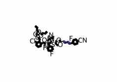 C=CCOP(=O)(OCC=C)OCc1c(Cl)cccc1C(=O)O[C@@](Cn1cncn1)(c1ccc(F)cc1F)[C@@H](C)S[C@H]1CO[C@H](/C=C/C=C/c2ccc(C#N)cc2F)OC1